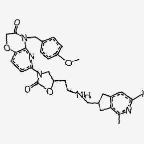 COc1ccc(CN2C(=O)COc3ccc(N4CC(CCNCC5Cc6cc(I)nc(C)c6C5)OC4=O)nc32)cc1